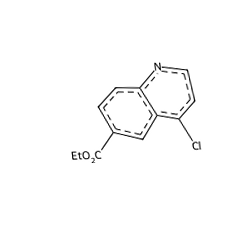 CCOC(=O)c1ccc2nccc(Cl)c2c1